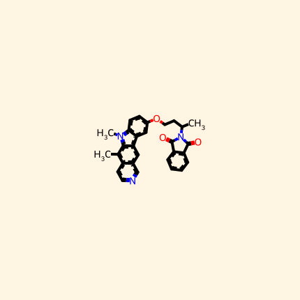 Cc1c2ccncc2cc2c3cc(OCCC(C)N4C(=O)c5ccccc5C4=O)ccc3n(C)c12